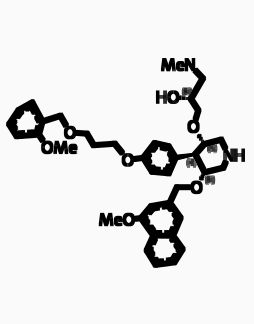 CNC[C@@H](O)CO[C@@H]1CNC[C@H](OCc2cc(OC)c3ccccc3c2)[C@H]1c1ccc(OCCCOCc2ccccc2OC)cc1